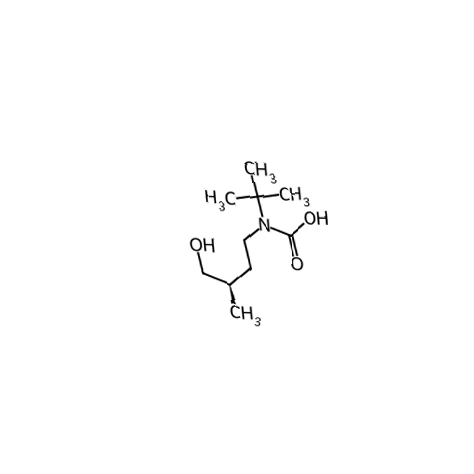 C[C@@H](CO)CCN(C(=O)O)C(C)(C)C